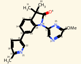 COc1cncc(N2C(=O)C(C)(C)c3ccc(-c4ccc(C)nc4)cc32)n1